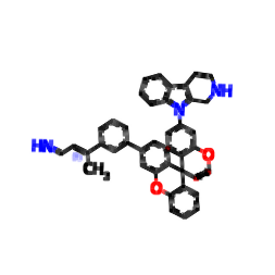 C/C(=C\C=N)c1cccc(-c2ccc3c(c2)Oc2ccccc2C32c3ccccc3Oc3cc(-n4c5c(c6ccccc64)C=CNC5)ccc32)c1